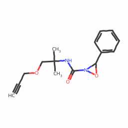 C#CCOCC(C)(C)NC(=O)N1OC1c1ccccc1